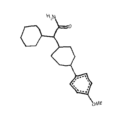 COc1ccc(C2CCC(C(C(N)=O)C3CCCCC3)CC2)cc1